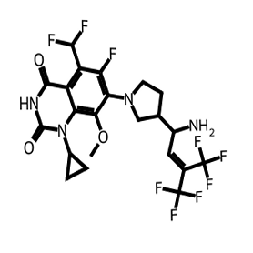 COc1c(N2CCC(C(N)C=C(C(F)(F)F)C(F)(F)F)C2)c(F)c(C(F)F)c2c(=O)[nH]c(=O)n(C3CC3)c12